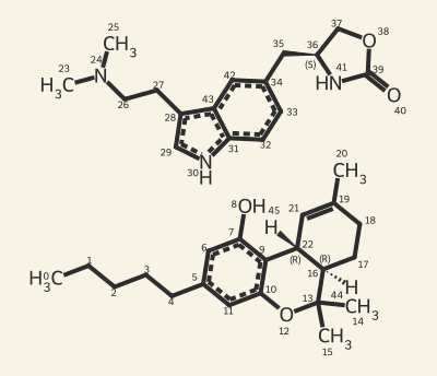 CCCCCc1cc(O)c2c(c1)OC(C)(C)[C@@H]1CCC(C)=C[C@@H]21.CN(C)CCc1c[nH]c2ccc(C[C@H]3COC(=O)N3)cc12